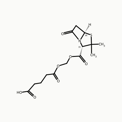 CC1(C)S[C@@H]2CC(=O)N2[C@H]1C(=O)OCOC(=O)CCCC(=O)O